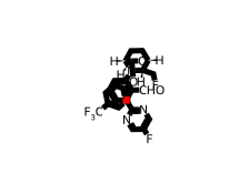 O=Cc1c(-c2ncc(F)cn2)cccc1N1[C@H](CF)[C@@H]2CC[C@H]1[C@H](Oc1ccc(C(F)(F)F)cn1)C2